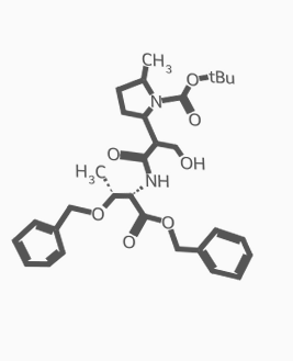 CC1CCC(C(CO)C(=O)N[C@H](C(=O)OCc2ccccc2)[C@@H](C)OCc2ccccc2)N1C(=O)OC(C)(C)C